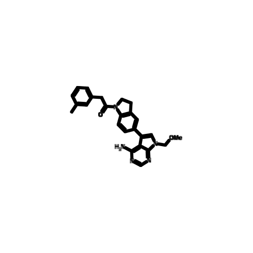 COCn1cc(-c2ccc3c(c2)CCN3C(=O)Cc2cccc(C)c2)c2c(N)ncnc21